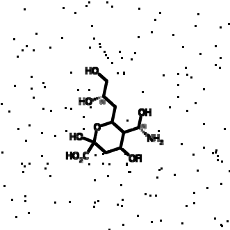 N[C@@H](O)C1C(O)CC(O)(C(=O)O)OC1C[C@H](O)CO